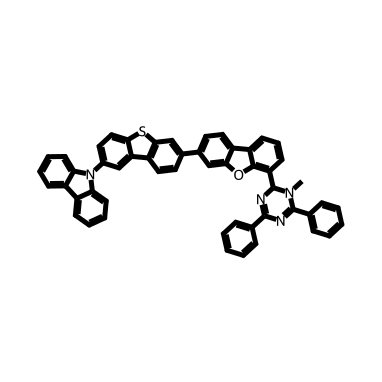 CN1C(c2ccccc2)=NC(c2ccccc2)=NC1c1cccc2c1oc1cc(-c3ccc4c(c3)sc3ccc(-n5c6ccccc6c6ccccc65)cc34)ccc12